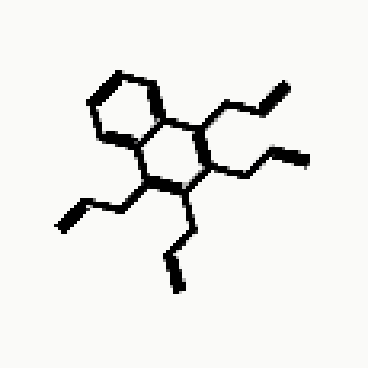 C=CCc1c(CC=C)c(CC=C)c2ccccc2c1CC=C